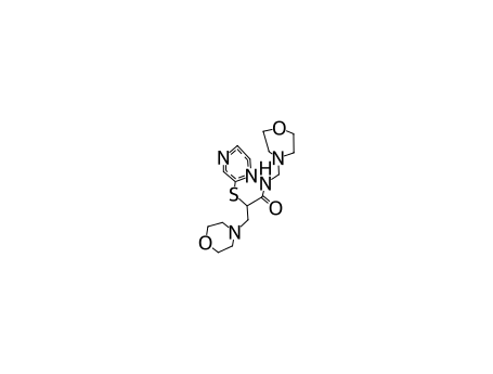 O=C(NCN1CCOCC1)C(CN1CCOCC1)Sc1cnccn1